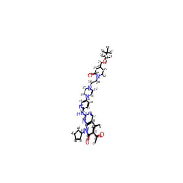 CC(=O)c1c(C)c2cnc(Nc3ccc(N4CCN(CCN5CCC(CO[Si](C)(C)C(C)(C)C)CC5=O)CC4)cn3)nc2n(C2CCCC2)c1=O